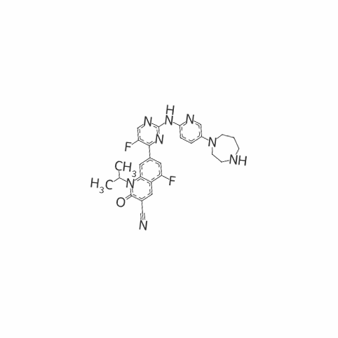 CC(C)n1c(=O)c(C#N)cc2c(F)cc(-c3nc(Nc4ccc(N5CCCNCC5)cn4)ncc3F)cc21